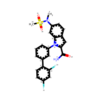 CN(c1ccc2cc(C(N)=O)n(-c3cccc(-c4ccc(F)cc4F)c3)c2c1)S(C)(=O)=O